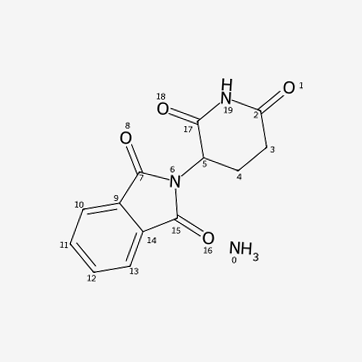 N.O=C1CCC(N2C(=O)c3ccccc3C2=O)C(=O)N1